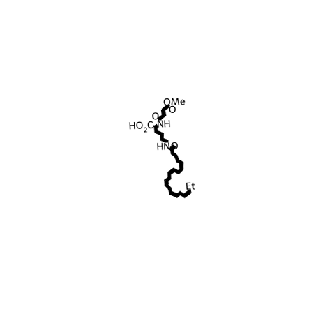 CC/C=C\C/C=C\C/C=C\C/C=C\C/C=C\CCCC(=O)NCCCC[C@H](NC(=O)/C=C/C(=O)OC)C(=O)O